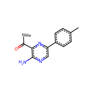 CNC(=O)c1nc(-c2ccc(C)cc2)cnc1N